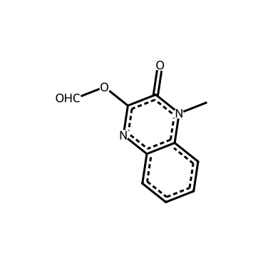 Cn1c(=O)c(OC=O)nc2ccccc21